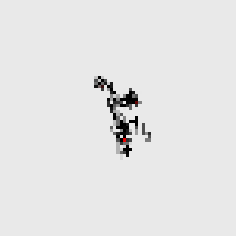 NN(C(=O)NC1CCC(Oc2ccc(OC(F)(F)F)cc2C(=O)NCCN2CCOCC2)C1)c1cccc(OC(F)(F)F)c1